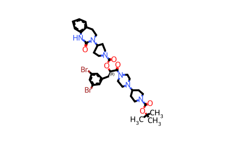 CC(C)(C)OC(=O)N1CCC(N2CCN(C(=O)[C@@H](Cc3cc(Br)cc(Br)c3)OC(=O)N3CCC(N4CCc5ccccc5NC4=O)CC3)CC2)CC1